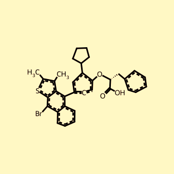 Cc1sc2c(Br)c3ccccc3c(-c3ccc(O[C@H](Cc4ccccc4)C(=O)O)c(C4CCCC4)c3)c2c1C